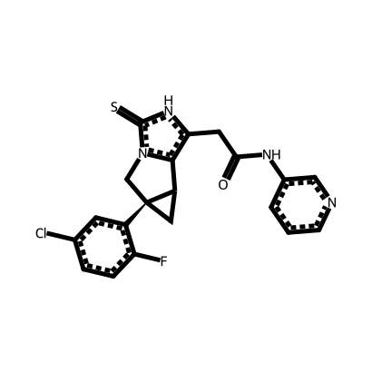 O=C(Cc1[nH]c(=S)n2c1C1C[C@]1(c1cc(Cl)ccc1F)C2)Nc1cccnc1